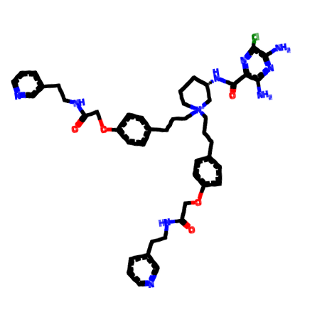 Nc1nc(N)c(C(=O)N[C@H]2CCC[N+](CCCc3ccc(OCC(=O)NCCc4cccnc4)cc3)(CCCc3ccc(OCC(=O)NCCc4cccnc4)cc3)C2)nc1Cl